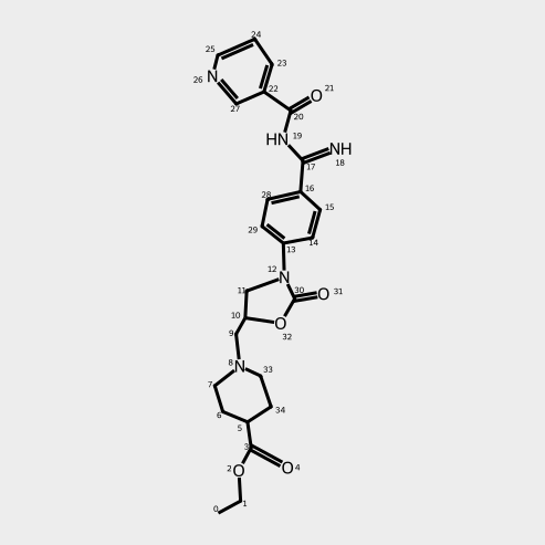 CCOC(=O)C1CCN(CC2CN(c3ccc(C(=N)NC(=O)c4cccnc4)cc3)C(=O)O2)CC1